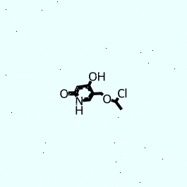 CC(Cl)OCc1c[nH]c(=O)cc1O